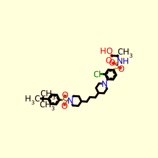 CC(NS(=O)(=O)c1ccc(N2CCC(CCCC3CCN(S(=O)(=O)c4ccc(C(C)(C)C)cc4)CC3)CC2)c(Cl)c1)C(=O)O